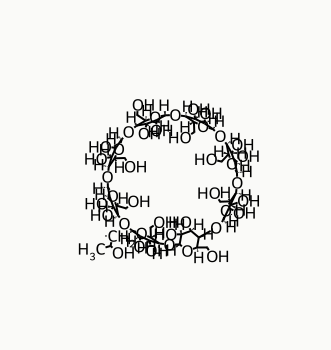 OC[C@H]1O[C@@H]2O[C@H]3[C@H](O)[C@@H](O)[C@@H](O[C@H]4[C@H](O)[C@@H](O)[C@@H](O[C@H]5[C@H](O)[C@@H](O)[C@@H](O[C@H]6[C@H](O)[C@@H](O)[C@@H](O[C@H]7[C@H](O)[C@@H](O)[C@@H](O[C@H]8[C@H](O)[C@@H](O)[C@@H](O[C@H]9[C@H](O)[C@@H](O)[C@@H](O[C@H]1[C@H](O)[C@H]2O)O[C@@H]9CO)O[C@@H]8CO)O[C@@H]7CO)O[C@@H]6CO)O[C@@H]5CO)O[C@@H]4CO)O[C@@H]3CO.[CH2]C(C)O